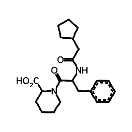 O=C(CC1CCCC1)NC(Cc1ccccc1)C(=O)N1CCCCC1C(=O)O